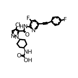 O=C(O)N[C@H]1CC[C@H](n2ncc(Cl)c2C(=O)Nc2ncc(C#Cc3ccc(F)cc3)cc2F)CC1